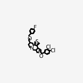 O=C(c1ccc(Cl)c(Cl)c1)N1CC(CN2CCC(COCc3ccc(F)cc3)CC2)C(c2ccsc2)C1